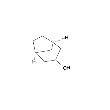 OC1C[C@H]2CC[C@@H](C1)C2